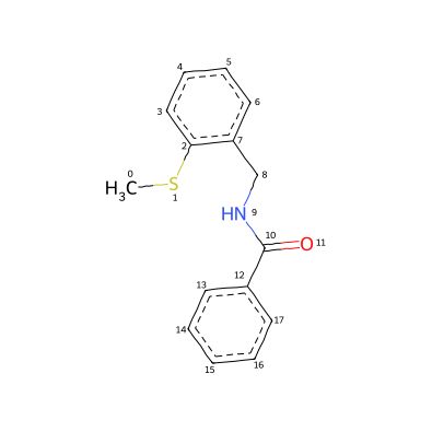 CSc1ccccc1CNC(=O)c1ccccc1